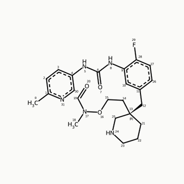 Cc1ccc(NC(=O)Nc2cc(C[C@@]3(CCON(C)C=O)CCCNC3)ccc2F)cn1